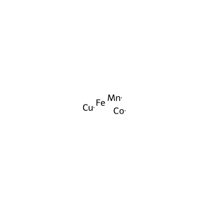 [Co].[Cu].[Fe].[Mn]